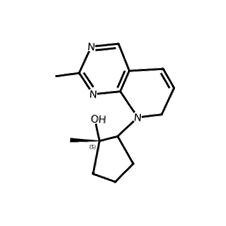 Cc1ncc2c(n1)N(C1CCC[C@]1(C)O)CC=C2